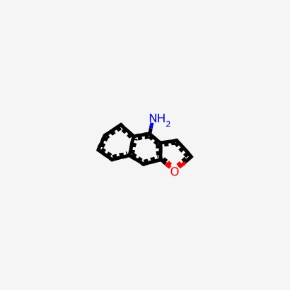 Nc1c2ccccc2cc2occc12